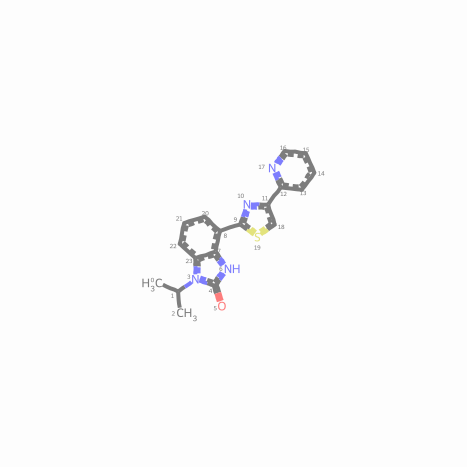 CC(C)n1c(=O)[nH]c2c(-c3nc(-c4ccccn4)cs3)cccc21